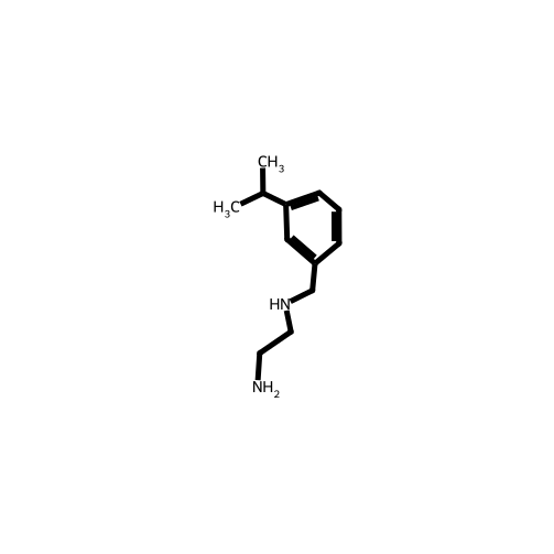 CC(C)c1cccc(CNCCN)c1